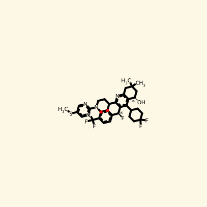 CSc1cnc(N2CCC(c3nc4c(c(C5CCC(F)(F)CC5)c3[C@@H](F)c3ccc(C(F)(F)F)cc3)[C@@H](O)CC(C)(C)C4)CC2)nc1